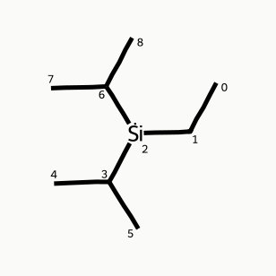 CC[Si](C(C)C)C(C)C